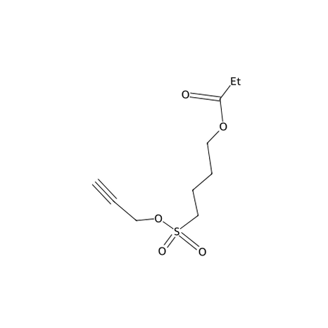 C#CCOS(=O)(=O)CCCCOC(=O)CC